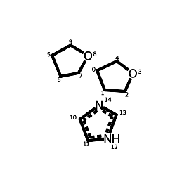 C1CCOC1.C1CCOC1.c1c[nH]cn1